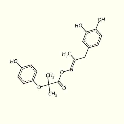 C/C(Cc1ccc(O)c(O)c1)=N\OC(=O)C(C)(C)Oc1ccc(O)cc1